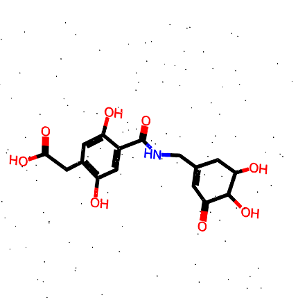 O=C(O)Cc1cc(O)c(C(=O)NCC2=CC(=O)C(O)C(O)C2)cc1O